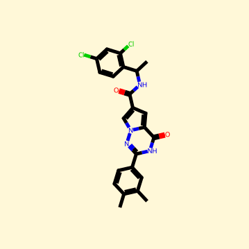 Cc1ccc(-c2nn3cc(C(=O)NC(C)c4ccc(Cl)cc4Cl)cc3c(=O)[nH]2)cc1C